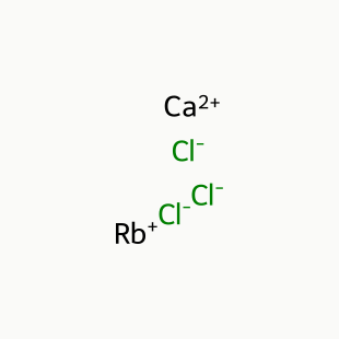 [Ca+2].[Cl-].[Cl-].[Cl-].[Rb+]